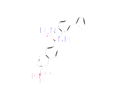 CC1CC1(Cc1ccc(C(=O)Nc2cc(-c3cccs3)ccc2N)cc1)[PH](=O)O